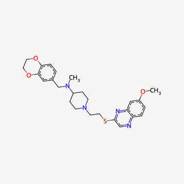 COc1ccc2ncc(SCCN3CCC(N(C)Cc4ccc5c(c4)OCCO5)CC3)nc2c1